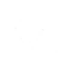 CCOc1ccc([S+]([O-])N2CCN(CC)CC2)cc1C#N